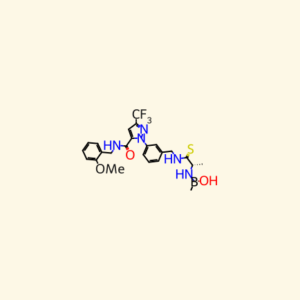 COc1ccccc1CNC(=O)c1cc(C(F)(F)F)nn1-c1cccc(CNC(=S)[C@H](C)NB(C)O)c1